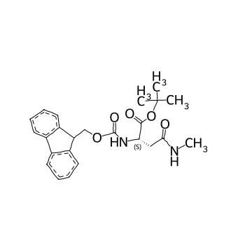 CNC(=O)C[C@H](NC(=O)OCC1c2ccccc2-c2ccccc21)C(=O)OC(C)(C)C